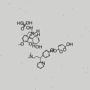 CN(C)CCC(c1ccc(Cl)cc1)c1ccccn1.COc1ccc2c3c1O[C@H]1[C@@H](O)C=C[C@H]4[C@@H](C2)N(C)CC[C@@]341.O=C(O)/C=C\C(=O)O.O=P(O)(O)O